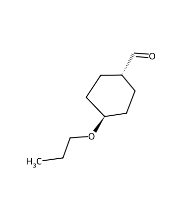 CCCO[C@H]1CC[C@H](C=O)CC1